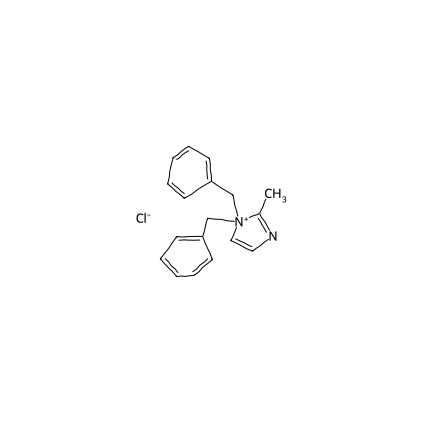 CC1=NC=C[N+]1(Cc1ccccc1)Cc1ccccc1.[Cl-]